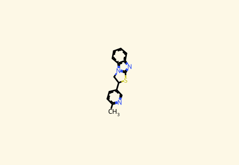 Cc1ccc(C2Cn3c(nc4ccccc43)S2)cn1